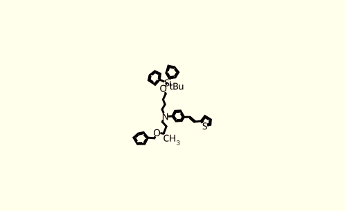 CC(CCN(CCCCO[Si](c1ccccc1)(c1ccccc1)C(C)(C)C)c1ccc(C=Cc2cccs2)cc1)OCc1ccccc1